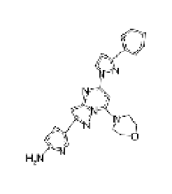 Nc1ccc(-c2cc3nc(-n4ccc(-c5ccccc5)n4)cc(N4CCOCC4)n3n2)cn1